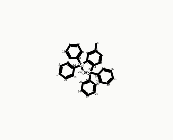 Cc1ccc2c(c1)[Si](c1ccccc1)(c1ccccc1)O[Si]2(c1ccccc1)c1ccccc1